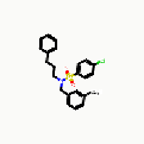 O=C(O)c1cccc(CN(CCCc2ccccc2)S(=O)(=O)c2ccc(Cl)cc2)c1